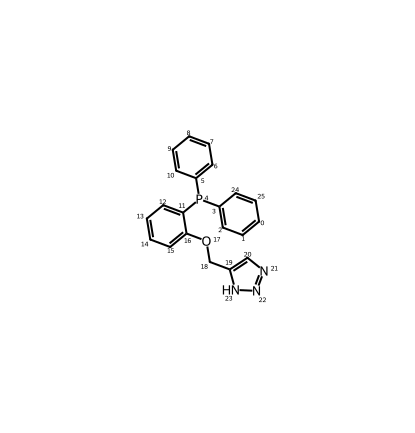 c1ccc(P(c2ccccc2)c2ccccc2OCc2cnn[nH]2)cc1